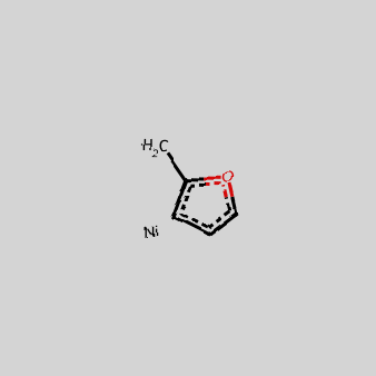 [CH2]c1ccco1.[Ni]